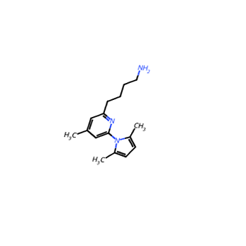 Cc1cc(CCCCN)nc(-n2c(C)ccc2C)c1